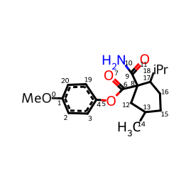 COc1ccc(OC(=O)C2(C(N)=O)CC(C)CCC2C(C)C)cc1